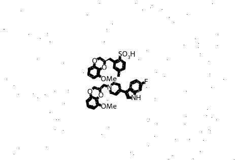 COc1cccc2c1OC(CN1CC=C(c3c[nH]c4cc(F)ccc34)CC1)CO2.COc1cccc2c1O[C@H](Cc1cc(C)ccc1S(=O)(=O)O)CO2